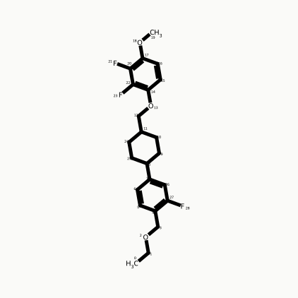 CCOCc1ccc(C2CCC(COc3ccc(OC)c(F)c3F)CC2)cc1F